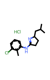 Cc1c(Cl)cccc1NC1=NC(CC(C)C)CC1.Cl